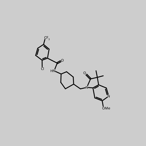 COc1cc2c(cn1)C(C)(C)C(=O)N2CC1CCC(NC(=O)c2cc(C(F)(F)F)ccc2Cl)CC1